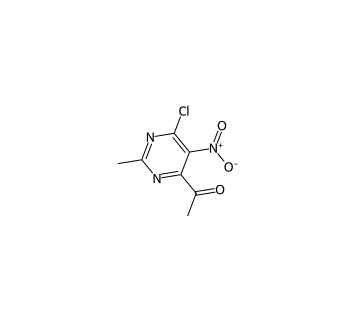 CC(=O)c1nc(C)nc(Cl)c1[N+](=O)[O-]